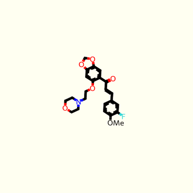 COc1ccc(/C=C/C(=O)c2cc3c(cc2OCCN2CCOCC2)OCO3)cc1F